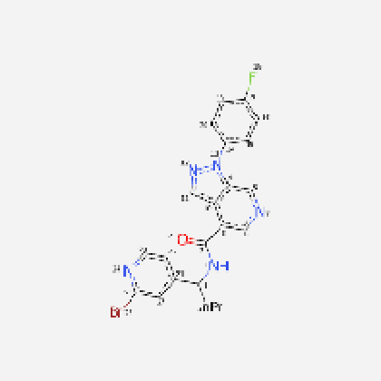 CCCC(NC(=O)c1cncc2c1cnn2-c1ccc(F)cc1)c1ccnc(Br)c1